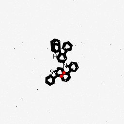 c1ccc(-c2ccccc2N(c2ccc3c(c2)-c2ccccc2[C@]32C3CC4CC(C3)C[C@@H]2C4)c2ccc3c(c2)sc2ccccc23)cc1